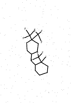 FC(F)(F)C1(I)CCCCC1CC1CCC(C(F)(F)F)(C(F)(F)F)CC1